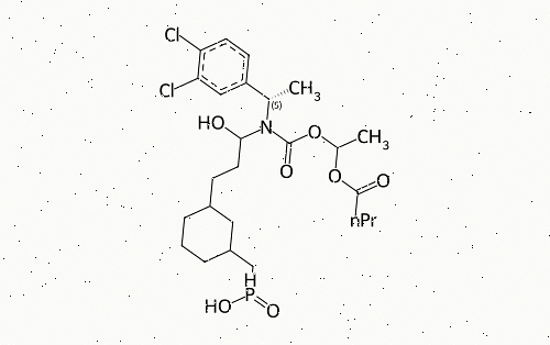 CCCC(=O)OC(C)OC(=O)N(C(O)CCC1CCCC(C[PH](=O)O)C1)[C@@H](C)c1ccc(Cl)c(Cl)c1